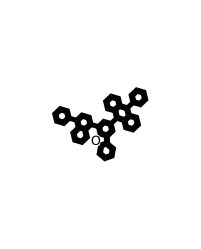 c1ccc(-c2ccc(-c3cc(-c4c5ccccc5c(-c5ccccc5)c5ccccc45)cc4c3oc3ccccc34)c3ccccc23)cc1